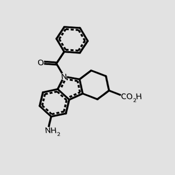 Nc1ccc2c(c1)c1c(n2C(=O)c2ccccc2)CCC(C(=O)O)C1